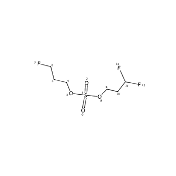 O=S(=O)(OCCCF)OCCC(F)F